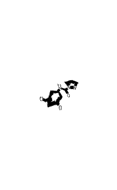 O=C(Nc1cc(Cl)cc(Cl)c1)n1cc[c]n1